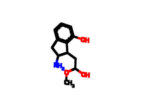 COC(O)CC1c2c(O)cccc2CC1N